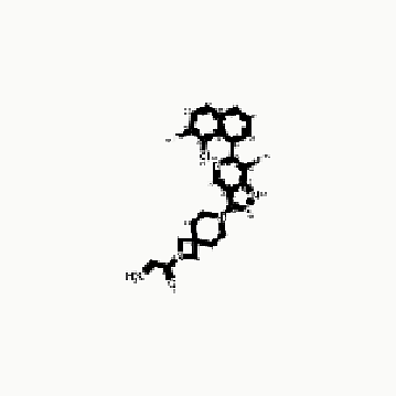 C=CC(=O)N1CC2(CCN(c3snc4c(F)c(-c5cccc6ccc(F)c(Cl)c56)ncc34)CC2)C1